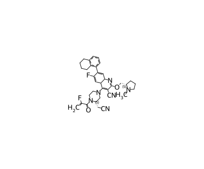 C=C(F)C(=O)N1CCN(C2=C(C#N)C(OC[C@@H]3CCCN3C)=NC3C=C(c4cccc5c4CCCC5)C(F)=CC23)C[C@@H]1CC#N